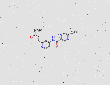 CNC(=O)CCc1cc(NC(=O)c2cnc(OCC(C)C)cn2)ccn1